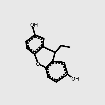 CCC1c2cc(O)ccc2Oc2ccc(O)cc21